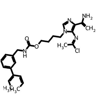 C=C(N)c1ncn(CCCCOC(=O)NCc2cccc(C(/C=C\C)=C/C)c2)c1/N=C(\C)Cl